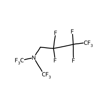 FC(F)(F)N(CC(F)(F)C(F)(F)C(F)(F)F)C(F)(F)F